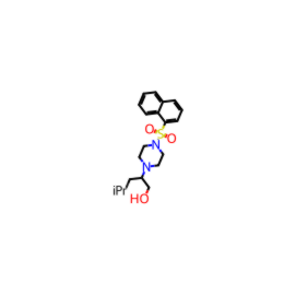 CC(C)CC(CO)N1CCN(S(=O)(=O)c2cccc3ccccc23)CC1